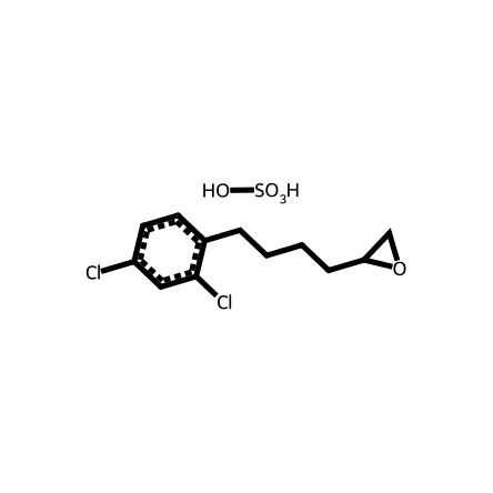 Clc1ccc(CCCCC2CO2)c(Cl)c1.O=S(=O)(O)O